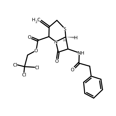 C=C1CS[C@H]2C(NC(=O)Cc3ccccc3)C(=O)N2C1C(=O)OCC(Cl)(Cl)Cl